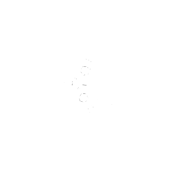 COC1(CNC(c2ccc(NC(=O)C3c4ccc(S(C)(=O)=O)cc4CN3C(C)=O)cc2)(C(F)(F)F)C(F)(F)F)CC1